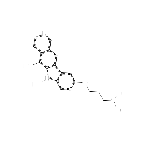 CCN(CC)CCCOc1ccc2c(c1)c1cc3cnccc3c(C)c1n2C